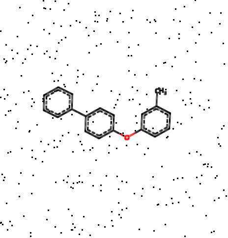 Cc1cccc(Oc2ccc(-c3ccccc3)cc2)c1